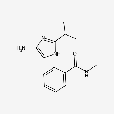 CC(C)c1nc(N)c[nH]1.CNC(=O)c1ccccc1